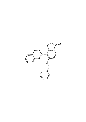 O=C1CCc2c1ccc(OCc1ccccc1)c2-c1ccc2ccccc2c1